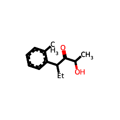 CCC(C(=O)C(C)O)c1ccccc1C